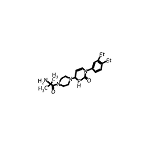 CCc1ccc(N2C=CC(N3CCN(C(=O)C(C)(C)N)CC3)PC2=O)cc1CC